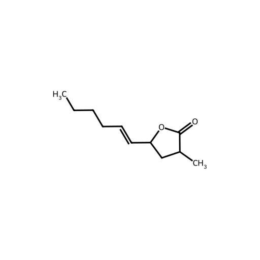 CCCC/C=C/C1CC(C)C(=O)O1